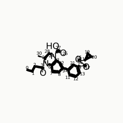 CCCC(=O)N1c2ccc(-c3cccc(S(=O)(=O)C4CC4)c3)cc2N(C(=O)O)C[C@@H]1C